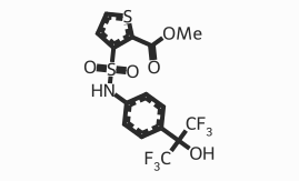 COC(=O)c1sccc1S(=O)(=O)Nc1ccc(C(O)(C(F)(F)F)C(F)(F)F)cc1